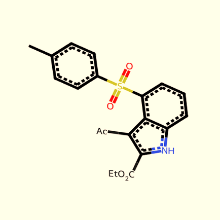 CCOC(=O)c1[nH]c2cccc(S(=O)(=O)c3ccc(C)cc3)c2c1C(C)=O